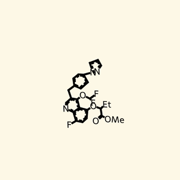 CCC(Oc1ccc(F)c2ncc(Cc3ccc(-n4cccn4)cc3)c(OC(F)F)c12)C(=O)OC